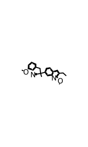 CCc1cc2ccc(C(C)(C#N)Cc3cccc(OC)c3)cc2nc1OC